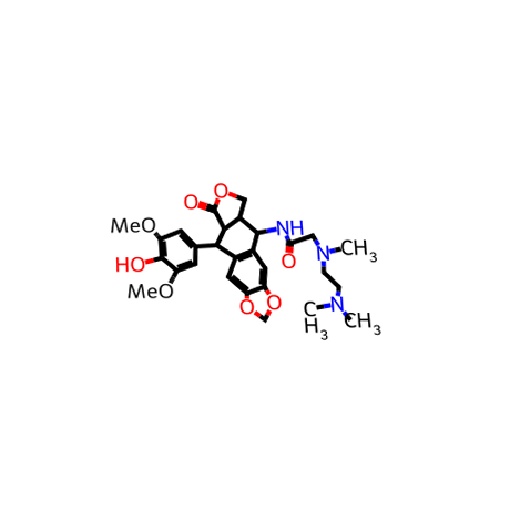 COc1cc(C2c3cc4c(cc3C(NC(=O)CN(C)CCN(C)C)C3COC(=O)C23)OCO4)cc(OC)c1O